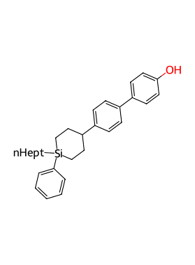 CCCCCCC[Si]1(c2ccccc2)CCC(c2ccc(-c3ccc(O)cc3)cc2)CC1